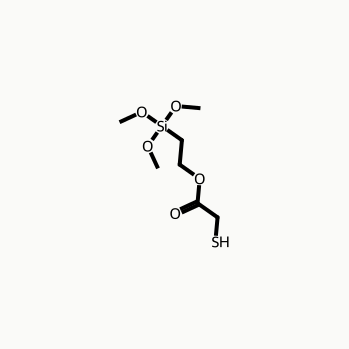 CO[Si](CCOC(=O)CS)(OC)OC